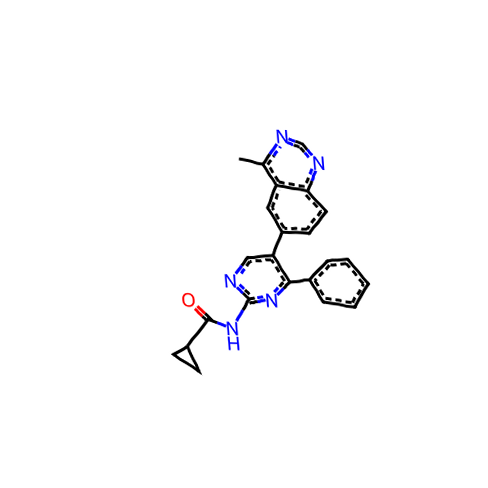 Cc1ncnc2ccc(-c3cnc(NC(=O)C4CC4)nc3-c3ccccc3)cc12